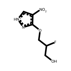 O=[N+]([O-])c1c[nH]nc1OCC(F)CO